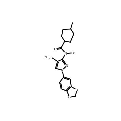 CCOC(=O)c1cn(-c2ccc3c(c2)OCO3)nc1N(C(=O)C1CCC(C)CC1)C(C)C